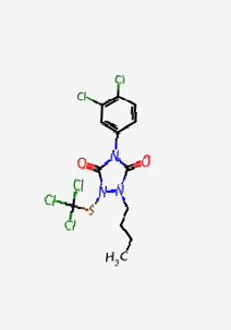 CCCCn1c(=O)n(-c2ccc(Cl)c(Cl)c2)c(=O)n1SC(Cl)(Cl)Cl